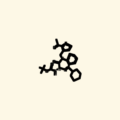 CC(=O)c1sccc1CN1C(=O)[C@@H](NC(=O)OC(C)(C)C)N=C(C2CCCCC2)c2ccccc21